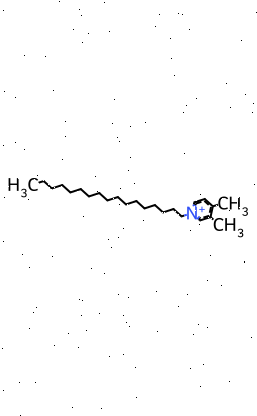 CCCCCCCCCCCCCCCCC[n+]1ccc(C)c(C)c1